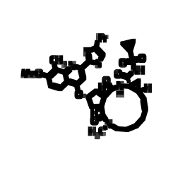 COc1ccc2c(O[C@@H]3C[C@H]4C(=O)N[C@@]5(C(=O)NS(=O)(=O)C6CC6)C[C@@H]5/C=C\CCCCN(C)C(=O)[C@@H]4C3)cc(-c3nc(C(C)C)cs3)nc2c1C